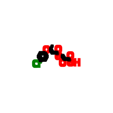 C[C@@H](CC(=O)OCC(=O)C(=O)O)Oc1ccc(Cl)cc1